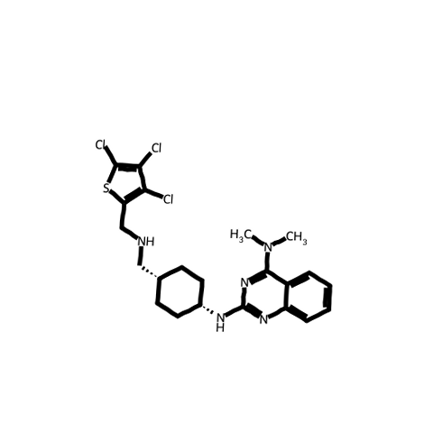 CN(C)c1nc(N[C@H]2CC[C@@H](CNCc3sc(Cl)c(Cl)c3Cl)CC2)nc2ccccc12